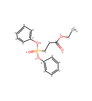 CCOC(=O)CCP(=O)(Oc1ccccc1)Oc1ccccc1